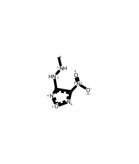 CNNc1nonc1[N+](=O)[O-]